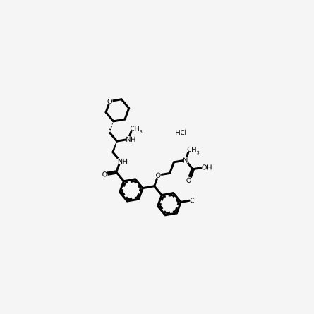 CN[C@@H](CNC(=O)c1cccc(C(OCCN(C)C(=O)O)c2cccc(Cl)c2)c1)C[C@H]1CCCOC1.Cl